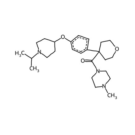 CC(C)N1CCC(Oc2ccc(C3(C(=O)N4CCN(C)CC4)CCOCC3)cc2)CC1